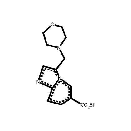 CCOC(=O)c1ccc2ncc(CN3CCOCC3)n2c1